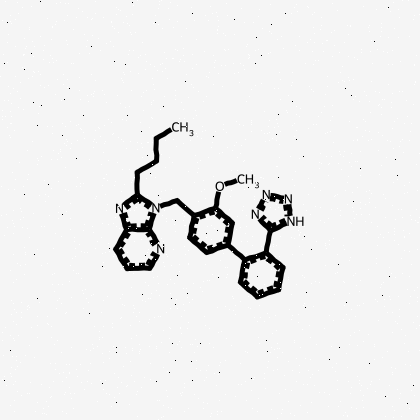 CCCCc1nc2cccnc2n1Cc1ccc(-c2ccccc2-c2nnn[nH]2)cc1OC